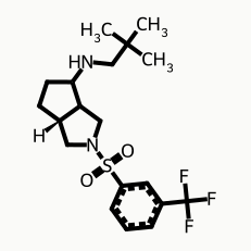 CC(C)(C)CNC1CC[C@H]2CN(S(=O)(=O)c3cccc(C(F)(F)F)c3)CC12